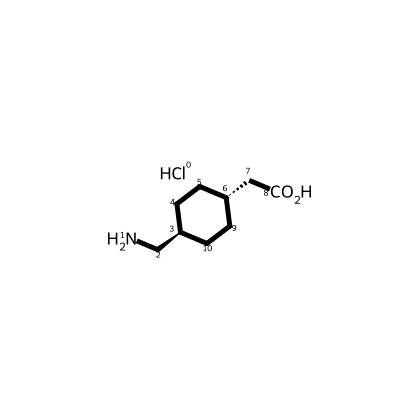 Cl.NC[C@H]1CC[C@H](CC(=O)O)CC1